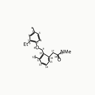 CCc1cc(C)ccc1OCc1c(I)cccc1CC(=O)NC